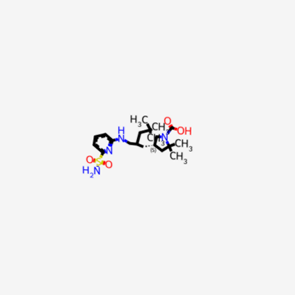 CC(C)(C)CC(CNc1cccc(S(N)(=O)=O)n1)C[C@@H]1CN(C(=O)O)C(C)(C)C1